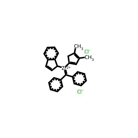 CC1=C(C)C[C]([Zr+2](=[C](c2ccccc2)c2ccccc2)[CH]2C=Cc3ccccc32)=C1.[Cl-].[Cl-]